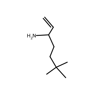 C=CC(N)CCC(C)(C)C